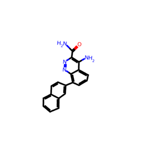 NC(=O)c1nnc2c(-c3ccc4ccccc4c3)cccc2c1N